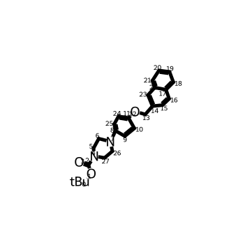 CC(C)(C)OC(=O)N1CCN(c2ccc(OCc3ccc4ccccc4c3)cc2)CC1